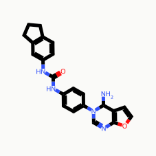 NC1c2ccoc2N=CN1c1ccc(NC(=O)Nc2ccc3c(c2)CCC3)cc1